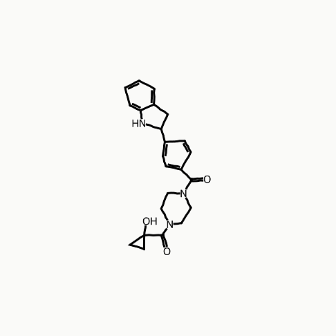 O=C(c1ccc(C2Cc3ccccc3N2)cc1)N1CCN(C(=O)C2(O)CC2)CC1